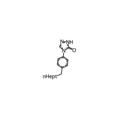 CCCCCCCCc1ccc(-n2cn[nH]c2=O)cc1